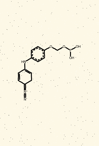 [N-]=[N+]=C1C=CC(Nc2ccc(OCOP(O)O)cc2)=CC1